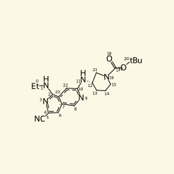 CCNc1nc(C#N)cc2cnc(N[C@H]3CCCN(C(=O)OC(C)(C)C)C3)cc12